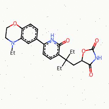 CCN1CCOc2ccc(-c3ccc(C(CC)(CC)CC4OC(=O)NC4=O)c(=O)[nH]3)cc21